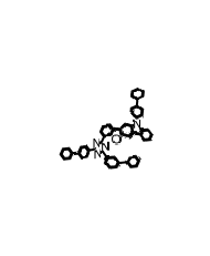 c1ccc(-c2ccc(-c3nc(-c4cccc(-c5ccccc5)c4)nc(-c4cccc5c4oc4cc6c7ccccc7n(-c7ccc(-c8ccccc8)cc7)c6cc45)n3)cc2)cc1